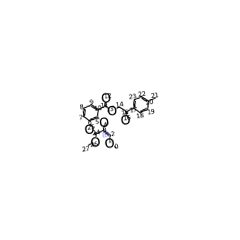 CO/C=C(/Oc1ccccc1C(=O)OCC(=O)c1ccc(C)cc1)C(=O)OC